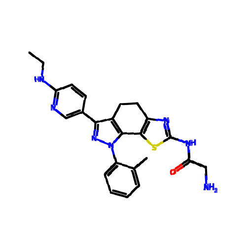 CCNc1ccc(-c2nn(-c3ccccc3C)c3c2CCc2nc(NC(=O)CN)sc2-3)cn1